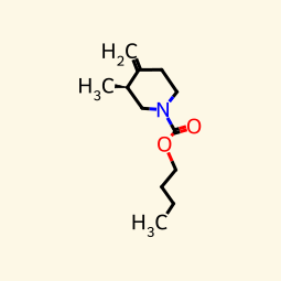 C=C1CCN(C(=O)OCCCC)C[C@H]1C